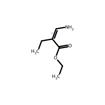 CCOC(=O)/C(=C\N)CC